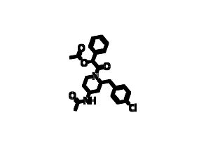 CC(=O)NC1CCN(C(=O)[C@@H](OC(C)=O)c2ccccc2)C(Cc2ccc(Cl)cc2)C1